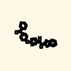 O=C(Nc1ccc(OC2CCN(C(=O)C3CCCCC3)CC2)nc1)N1Cc2ccccc2C1